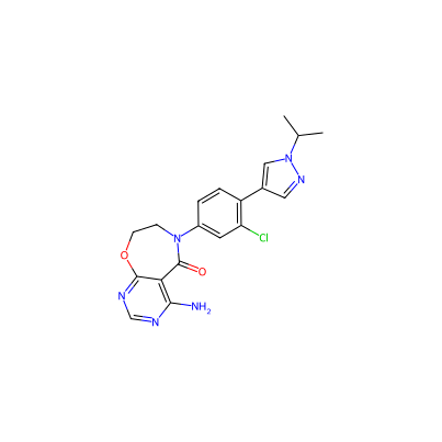 CC(C)n1cc(-c2ccc(N3CCOc4ncnc(N)c4C3=O)cc2Cl)cn1